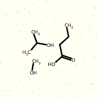 CC(C)O.CCCC(=O)O.CO